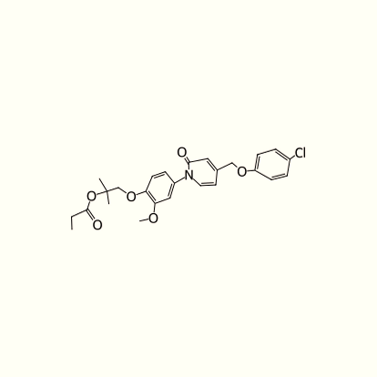 CCC(=O)OC(C)(C)COc1ccc(-n2ccc(COc3ccc(Cl)cc3)cc2=O)cc1OC